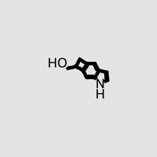 OCC1Cc2cc3cc[nH]c3cc21